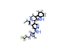 C=C(CC)N1CCc2c([nH]c3ccccc23)[C@H]1c1ccc(NC2CN(CCCF)C2)nc1